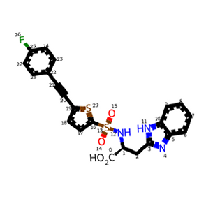 O=C(O)[C@H](Cc1nc2ccccc2[nH]1)NS(=O)(=O)c1ccc(C#Cc2ccc(F)cc2)s1